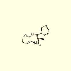 Nc1ccccc1On1ncc2ccccc21